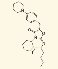 CCCCC(CI)/N=C1/O/C(=C/c2ccc(N3CCCCC3)cc2)C(=O)N1C1CCCCC1